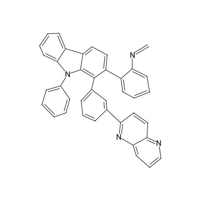 C=Nc1ccccc1-c1ccc2c3ccccc3n(-c3ccccc3)c2c1-c1cccc(-c2ccc3ncccc3n2)c1